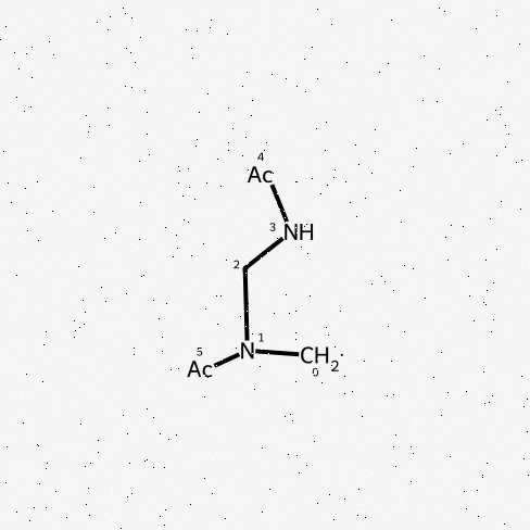 [CH2]N(CNC(C)=O)C(C)=O